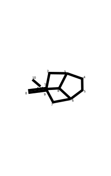 C=C1CC2CCC(C1)C2NC